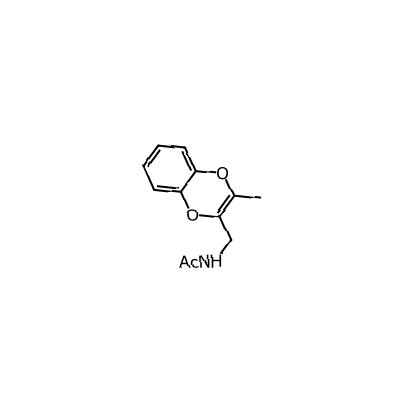 CC(=O)NCC1=C(C)Oc2ccccc2O1